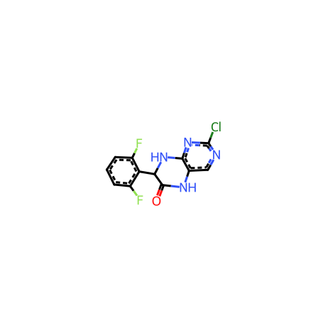 O=C1Nc2cnc(Cl)nc2NC1c1c(F)cccc1F